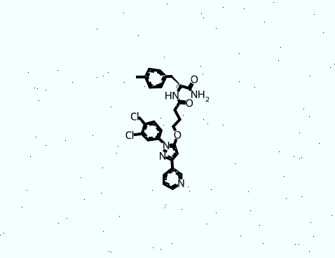 Cc1ccc(C[C@H](NC(=O)CCCOc2cc(-c3cccnc3)nn2-c2ccc(Cl)c(Cl)c2)C(N)=O)cc1